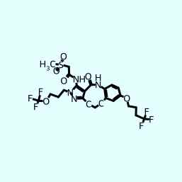 CS(=O)(=O)CC(=O)Nc1c2c(nn1CCCOC(F)(F)F)CCCc1cc(OCCCC(F)(F)F)ccc1NC2=O